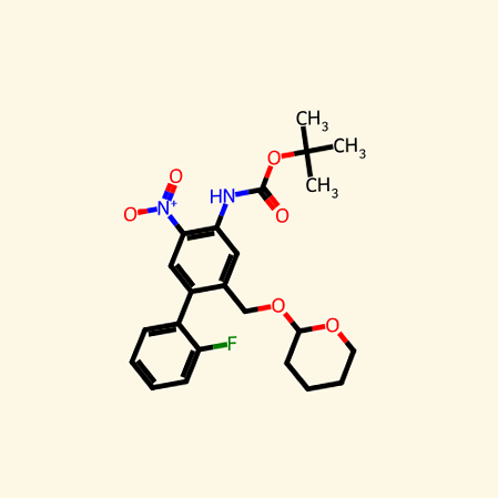 CC(C)(C)OC(=O)Nc1cc(COC2CCCCO2)c(-c2ccccc2F)cc1[N+](=O)[O-]